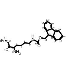 CC(C)OC(=O)C(N)CCCCNC(=O)OCC1c2ccccc2-c2ccccc21